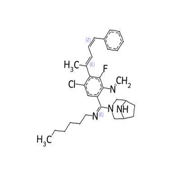 C=Nc1c(/C(=N\CCCCCC)N2CC3CCC(C2)N3)cc(Cl)c(/C(C)=C/C=C\c2ccccc2)c1F